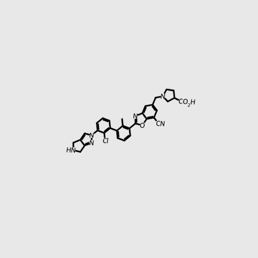 Cc1c(-c2nc3cc(CN4CCC(C(=O)O)C4)cc(C#N)c3o2)cccc1-c1cccc(-n2cc3c(n2)CNC3)c1Cl